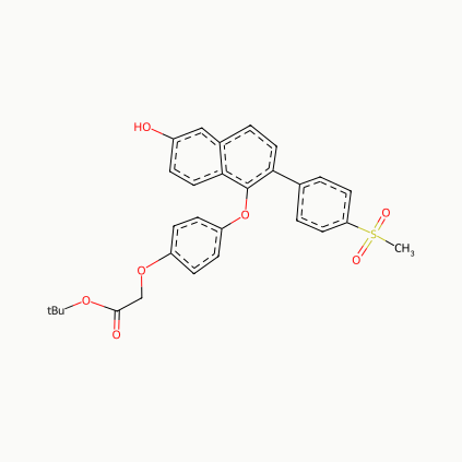 CC(C)(C)OC(=O)COc1ccc(Oc2c(-c3ccc(S(C)(=O)=O)cc3)ccc3cc(O)ccc23)cc1